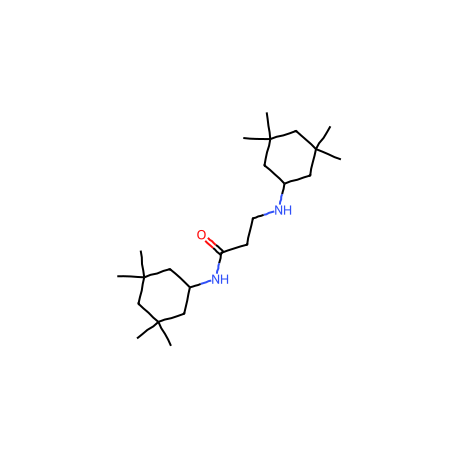 CC1(C)CC(NCCC(=O)NC2CC(C)(C)CC(C)(C)C2)CC(C)(C)C1